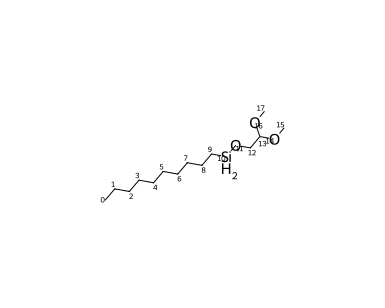 CCCCCCCCCC[SiH2]OCC(OC)OC